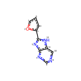 c1coc(-c2nc3ncncc3[nH]2)c1